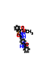 CCOC(=O)c1c(NC(=O)NCC2CCN(C(=O)NC3CCCCC3)CC2)sc2c1CCCC2